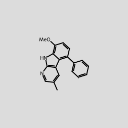 COc1ccc(-c2c[c]ccc2)c2c1[nH]c1ncc(C)cc12